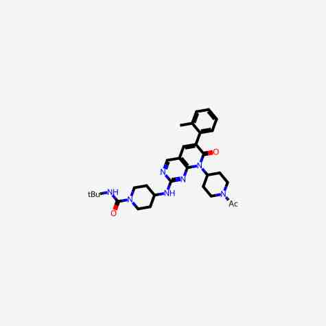 CC(=O)N1CCC(n2c(=O)c(-c3ccccc3C)cc3cnc(NC4CCN(C(=O)NC(C)(C)C)CC4)nc32)CC1